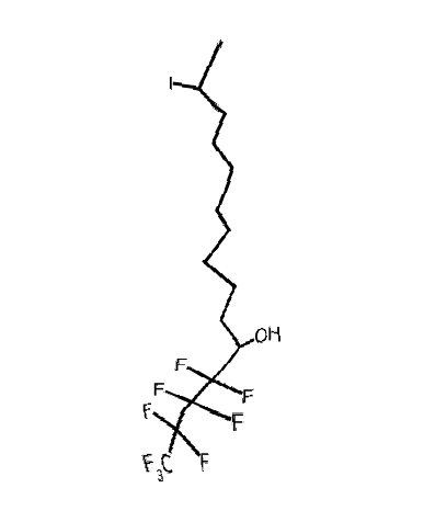 CC(I)CCCCCCCCC(O)C(F)(F)C(F)(F)C(F)(F)C(F)(F)F